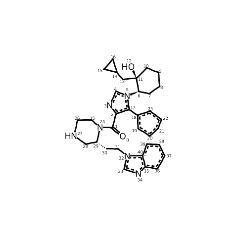 O=C(c1ncn([C@@H]2CCCC[C@@]2(O)CC2CC2)c1-c1ccccc1)N1CCNC[C@H]1CCn1cnc2ccccc21